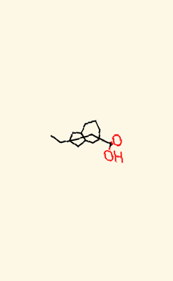 CCC12CC3CCCC(C(=O)O)(CC3C1)C2